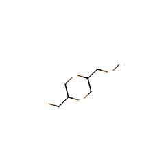 CCC(C)SCC1CSC(CS)CS1